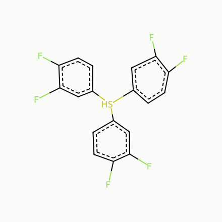 Fc1ccc([SH](c2ccc(F)c(F)c2)c2ccc(F)c(F)c2)cc1F